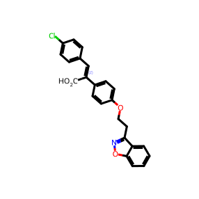 O=C(O)/C(=C\c1ccc(Cl)cc1)c1ccc(OCCc2noc3ccccc23)cc1